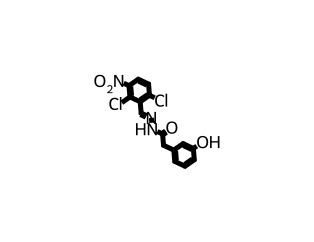 O=C(Cc1cccc(O)c1)N/N=C/c1c(Cl)ccc([N+](=O)[O-])c1Cl